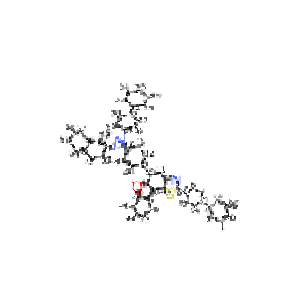 c1ccc(-c2ccc(-c3nc4cc(-c5ccc(N(c6ccc(-c7ccccc7)cc6)c6ccc7ccccc7c6)cc5)c5oc6ccccc6c5c4s3)cc2)cc1